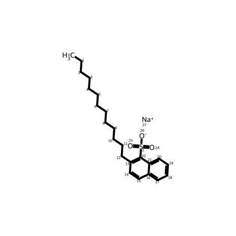 CCCCCCCCCCCCCc1ccc2ccccc2c1S(=O)(=O)[O-].[Na+]